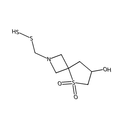 O=S1(=O)CC(O)CC12CN(CSS)C2